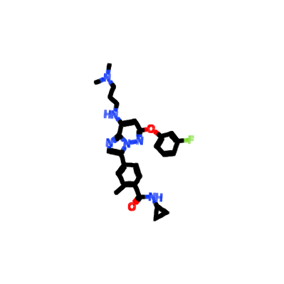 Cc1cc(-c2cnc3c(NCCCN(C)C)cc(Oc4cccc(F)c4)nn23)ccc1C(=O)NC1CC1